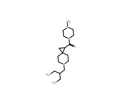 CCC(CC)CN1CCC2(CC1)CC2C(=O)N1CCN(C)CC1